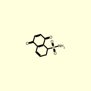 NS(=O)(=O)C1CC=CC2=C1C(=O)C=CC2=O